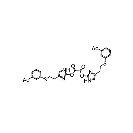 CC(=O)c1cccc(SCCc2c[nH]c(OC(=O)C(=O)Oc3nc(CCSc4cccc(C(C)=O)c4)c[nH]3)n2)c1